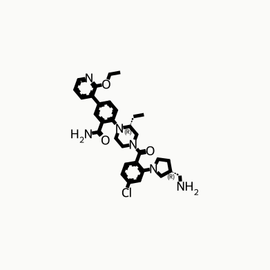 CCOc1ncccc1-c1ccc(N2CCN(C(=O)c3ccc(Cl)cc3N3CC[C@H](CN)C3)C[C@H]2CC)c(C(N)=O)c1